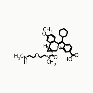 CNCCOCCN(C)C(=O)[C@]12C[C@H]1c1cc(OC)ccc1-c1c(C3CCCCC3)c3ccc(C(=O)O)cc3n1C2